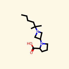 CCCCC(C)(C)N1CC(N2CCCC2C(=O)O)C1